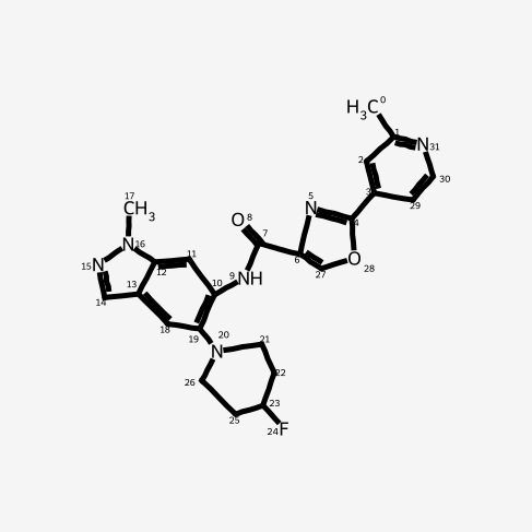 Cc1cc(-c2nc(C(=O)Nc3cc4c(cnn4C)cc3N3CCC(F)CC3)co2)ccn1